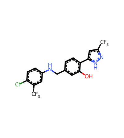 Oc1cc(CNc2ccc(Cl)c(C(F)(F)F)c2)ccc1-c1cc(C(F)(F)F)n[nH]1